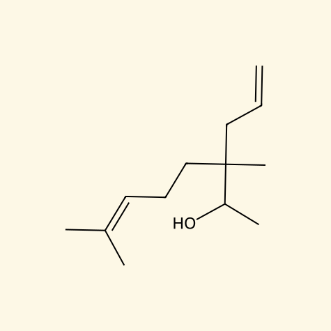 C=CCC(C)(CCC=C(C)C)C(C)O